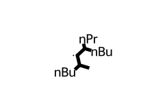 CCCCC(C)[CH]C(CCC)CCCC